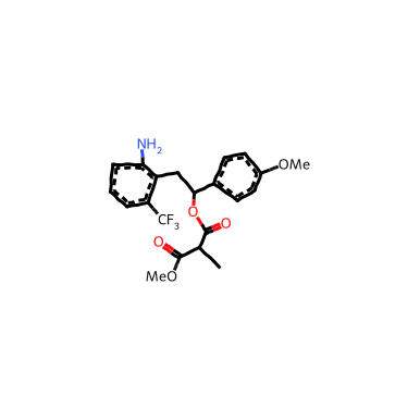 COC(=O)C(C)C(=O)OC(Cc1c(N)cccc1C(F)(F)F)c1ccc(OC)cc1